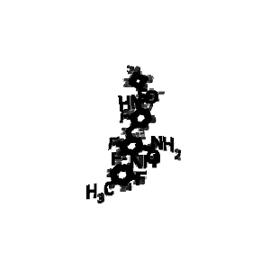 Cc1ccc(Nc2c(C(N)=O)cc(Cc3cccc(N[S+]([O-])C4CCC4)c3F)c(F)c2F)c(F)c1